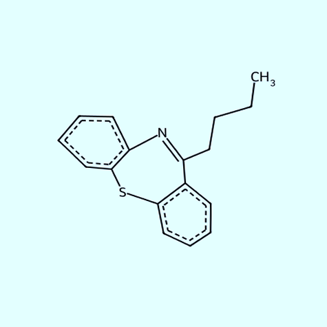 CCCCC1=Nc2ccccc2Sc2ccccc21